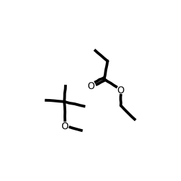 CCOC(=O)CC.COC(C)(C)C